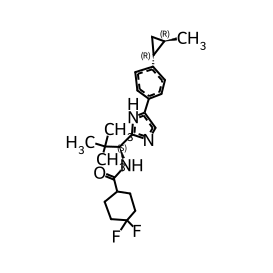 C[C@@H]1C[C@H]1c1ccc(-c2cnc([C@@H](NC(=O)C3CCC(F)(F)CC3)C(C)(C)C)[nH]2)cc1